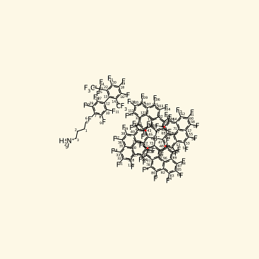 CCCC[NH2+]C.Fc1c(F)c(F)c(-c2c(C(F)(F)F)c(F)c(F)c(F)c2C(F)(F)C(F)(F)F)c(F)c1F.Fc1c(F)c2c(F)c(F)c3c(F)c(F)c([B-](c4c(F)c(F)c5c(F)c(F)c6c(F)c(F)c(F)c7c(F)c(F)c4c5c67)(c4c(F)c(F)c5c(F)c(F)c6c(F)c(F)c(F)c7c(F)c(F)c4c5c67)c4c(F)c(F)c5c(F)c(F)c6c(F)c(F)c(F)c7c(F)c(F)c4c5c67)c4c(F)c(F)c(c1F)c2c34